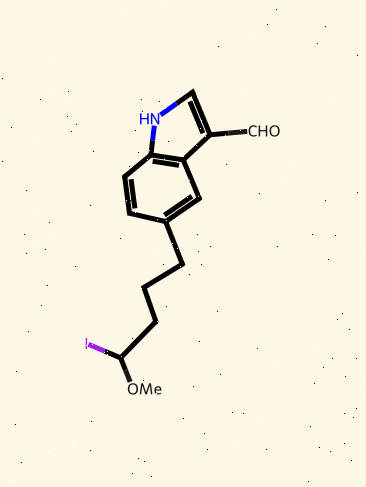 COC(I)CCCc1ccc2[nH]cc(C=O)c2c1